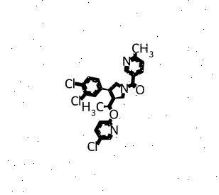 Cc1ccc(C(=O)N2C[C@@H]([C@H](C)Oc3ccc(Cl)cn3)[C@@H](c3ccc(Cl)c(Cl)c3)C2)cn1